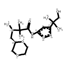 CN(C[C@@H]1COCCO1)C(C)(C)C(=O)Nc1cc(C(C)(C)CO)no1